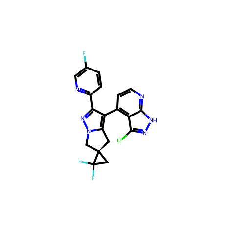 Fc1ccc(-c2nn3c(c2-c2ccnc4[nH]nc(Cl)c24)C[C@@]2(C3)CC2(F)F)nc1